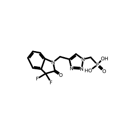 O=C1N(Cc2cn(CP(=O)(O)O)nn2)c2ccccc2C1(F)F